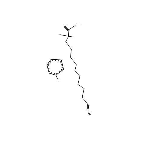 Clc1ccccc1.O=S=CCCCCCCCCCC(Cl)(Cl)C(=O)O